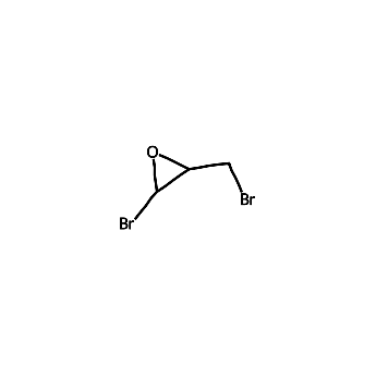 BrCC1OC1Br